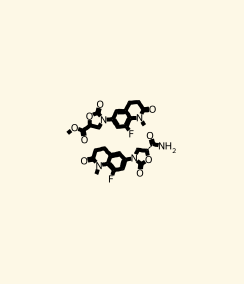 CN1C(=O)CCc2cc(N3C[C@H](C(N)=O)OC3=O)cc(F)c21.COC(=O)C1CN(c2cc(F)c3c(c2)CCC(=O)N3C)C(=O)O1